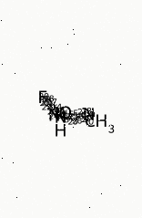 Cc1cc(-c2ccc(CC(=O)Nc3ccc(-c4ccc(F)cc4)cn3)cc2)ccn1